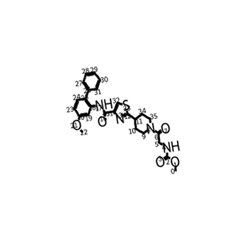 COC(=O)NCC(=O)N1CCC(c2nc(C(=O)Nc3cc(OC)ccc3-c3ccccc3)cs2)CC1